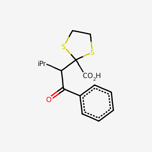 CC(C)C(C(=O)c1ccccc1)C1(C(=O)O)SCCS1